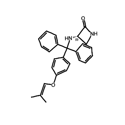 CC(C)=COc1ccc(C(N[C@H]2CNC2=O)(c2ccccc2)c2ccccc2)cc1